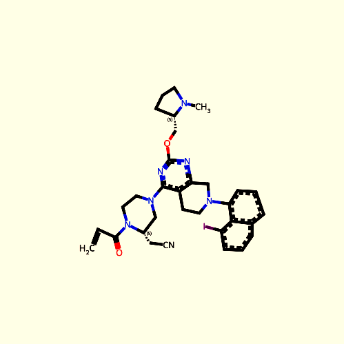 C=CC(=O)N1CCN(c2nc(OC[C@@H]3CCCN3C)nc3c2CCN(c2cccc4cccc(I)c24)C3)C[C@@H]1CC#N